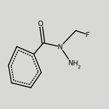 NN(CF)C(=O)c1ccccc1